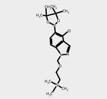 CC1(C)OB(c2ccc3c(cnn3COCC[Si](C)(C)C)c2Cl)OC1(C)C